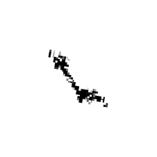 CCC(CC)(CCCCOCCCCC(CC)(CC)S(N)(=O)=O)CCS(N)(=O)=O